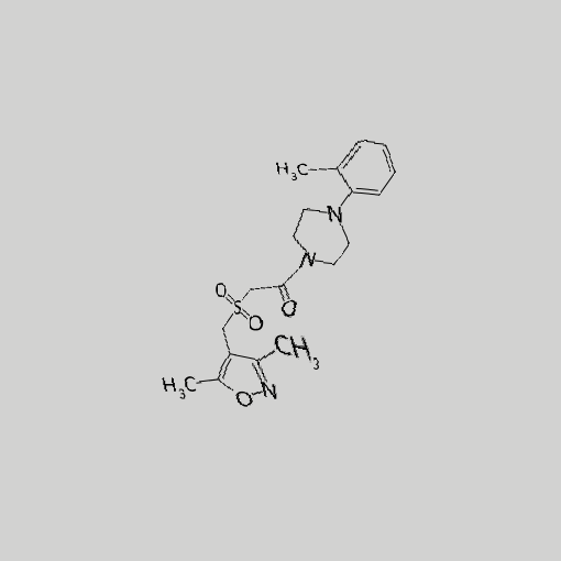 Cc1ccccc1N1CCN(C(=O)CS(=O)(=O)Cc2c(C)noc2C)CC1